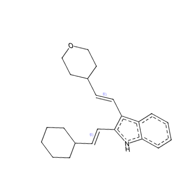 C(=C\C1CCCCC1)/c1[nH]c2ccccc2c1/C=C/C1CCOCC1